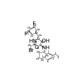 CCc1ccc2c(c1)[C@@H](NC[C@@H](O)[C@H](Cc1cc(F)cc(F)c1)NC(=O)CBr)CCC2